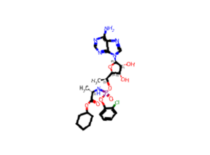 C[C@H](NP(=O)(Oc1ccccc1Cl)O[C@@H](C)[C@H]1O[C@@H](n2cnc3c(N)ncnc32)[C@H](O)[C@@H]1O)C(=O)OC1CCCCC1